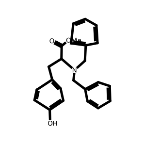 COC(=O)C(Cc1ccc(O)cc1)N(Cc1ccccc1)Cc1ccccc1